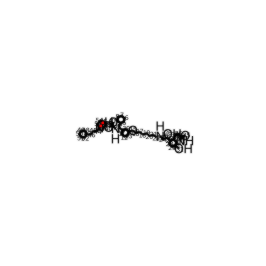 O=C(NC(c1ccccc1)c1cccc(OCCCCCCCNC[C@H](O)c2ccc(O)c3[nH]c(=O)ccc23)c1)O[C@H]1C[N+]2(CCCc3ccccc3)CCC1CC2